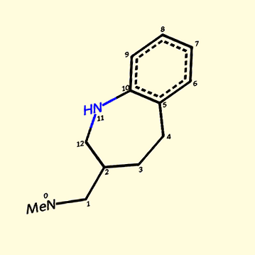 CNCC1CCc2ccccc2NC1